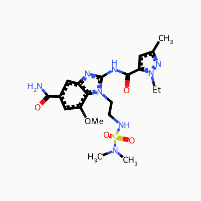 CCn1nc(C)cc1C(=O)Nc1nc2cc(C(N)=O)cc(OC)c2n1CCNS(=O)(=O)N(C)C